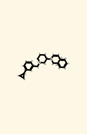 C1=CN(C2CCCN(Cc3cccc(C4CC4)c3)C2)Cc2ccccc21